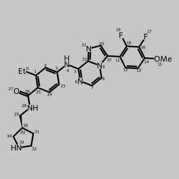 CCc1cc(Nc2nccn3c(-c4ccc(OC)c(F)c4F)cnc23)ccc1C(=O)NC[C@H]1CCNC1